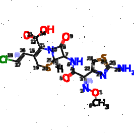 CO/N=C(/C(=O)NC1C(=O)N2C(C(=O)O)=C(/C=C/Cl)CS[C@H]12)c1csc(N)n1